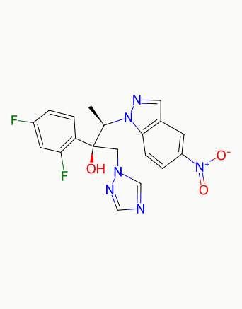 C[C@@H](n1ncc2cc([N+](=O)[O-])ccc21)[C@](O)(Cn1cncn1)c1ccc(F)cc1F